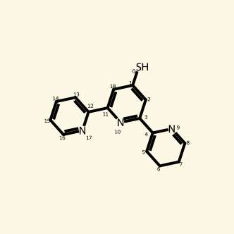 Sc1cc(C2=CCCC=N2)nc(-c2ccccn2)c1